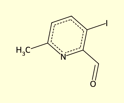 Cc1ccc(I)c(C=O)n1